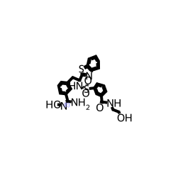 N/C(=N/O)c1cccc(CC(NS(=O)(=O)c2cccc(C(=O)NCCO)c2)c2nc3ccccc3s2)c1